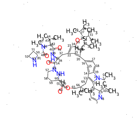 CCn1c(-c2cccnc2C(C)C)c2c3cc(ccc31)-c1cc(cc(O[Si](C(C)C)(C(C)C)C(C)C)c1)C[C@H](NC(=O)[C@H](C(C)C)N(C)C(=O)[C@H]1CCN1)C(=O)N1CCC[C@H](N1)C(=O)OCC(C)(C)C2